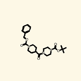 CC(C)(C)OC(=O)N1CCN(C(=O)C2CCN(C(=O)OCc3ccccc3)CC2)CC1